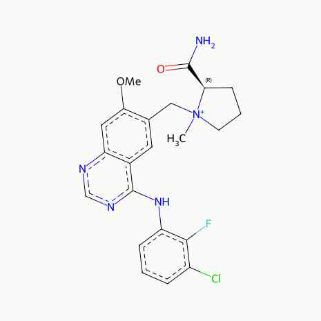 COc1cc2ncnc(Nc3cccc(Cl)c3F)c2cc1C[N+]1(C)CCC[C@@H]1C(N)=O